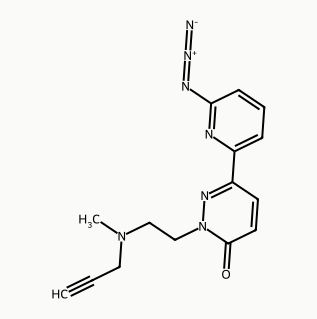 C#CCN(C)CCn1nc(-c2cccc(N=[N+]=[N-])n2)ccc1=O